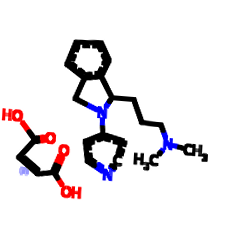 CN(C)CCCC1c2ccccc2CN1c1ccncc1.O=C(O)/C=C\C(=O)O